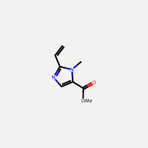 C=Cc1ncc(C(=O)OC)n1C